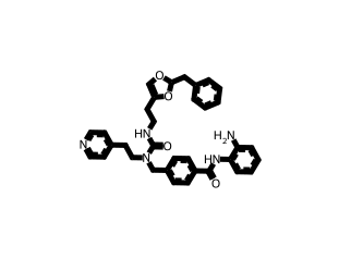 Nc1ccccc1NC(=O)c1ccc(CN(CCc2ccncc2)C(=O)NCCC2=COC(Cc3ccccc3)O2)cc1